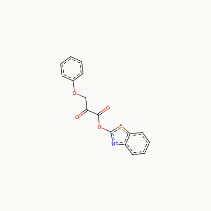 O=C(COc1ccccc1)C(=O)Oc1nc2ccccc2s1